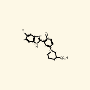 O=C(O)C1CCCN(c2ccc(Cl)c(-c3nc4cc(F)ccc4[nH]3)c2)C1